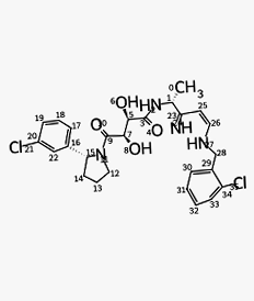 C[C@@H](NC(=O)[C@H](O)[C@@H](O)C(=O)N1CCC[C@@H]1c1cccc(Cl)c1)C(=N)/C=C\NCc1ccccc1Cl